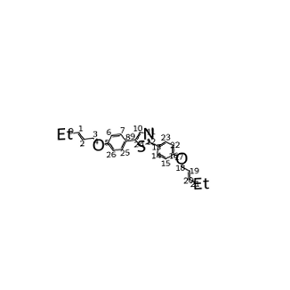 CCC=CCOc1ccc(-c2cnc(-c3ccc(OCC=CCC)cc3)s2)cc1